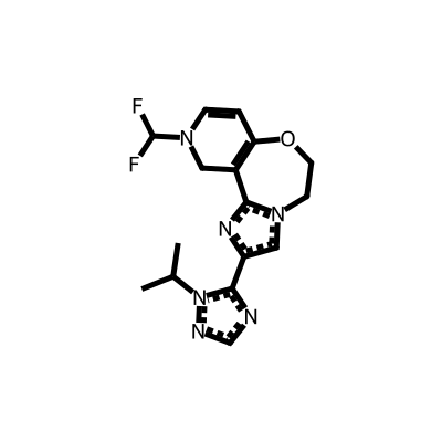 CC(C)n1ncnc1-c1cn2c(n1)C1=C(C=CN(C(F)F)C1)OCC2